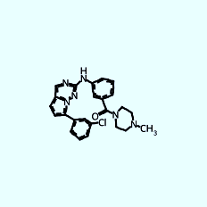 CN1CCN(C(=O)c2cccc(Nc3ncc4ccc(-c5cccc(Cl)c5)n4n3)c2)CC1